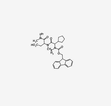 CCCN(C)C(=O)C(CC(=O)O)N(C)C(=O)C(C1CCCC1)N(C)C(=O)OCC1c2ccccc2-c2ccccc21